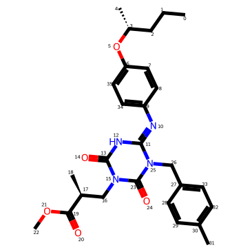 CCC[C@@H](C)Oc1ccc(/N=c2\[nH]c(=O)n(C[C@H](C)C(=O)OC)c(=O)n2Cc2ccc(C)cc2)cc1